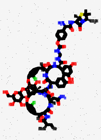 CN[C@H](CC(C)C)C(=O)NC1C(=O)N[C@@H](CC(N)=O)C(=O)N[C@H]2C(=O)N[C@H]3C(=O)N[C@H](C(=O)N[C@H](C(=O)NCNC(=O)Oc4ccc([C@@H](N)C(=O)N[C@@H]5C(=O)N6[C@@H]5SC(C)(C)[C@@H]6C(=O)O)cc4)c4cc(O)cc(O)c4-c4cc3ccc4O)[C@H](O)c3ccc(c(Cl)c3)Oc3cc2cc(c3O[C@@H]2O[C@H](CO)[C@@H](O)[C@H](O)[C@H]2O[C@H]2C[C@](C)(N)[C@H](O)[C@H](C)O2)Oc2ccc(cc2Cl)[C@H]1O